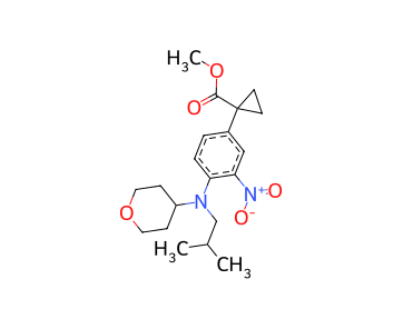 COC(=O)C1(c2ccc(N(CC(C)C)C3CCOCC3)c([N+](=O)[O-])c2)CC1